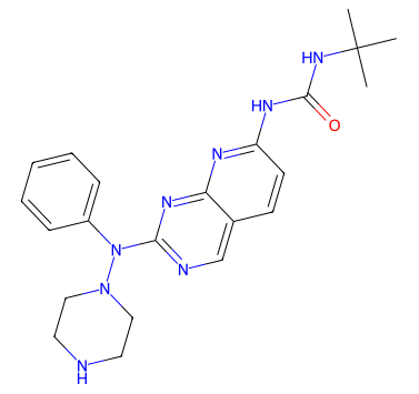 CC(C)(C)NC(=O)Nc1ccc2cnc(N(c3ccccc3)N3CCNCC3)nc2n1